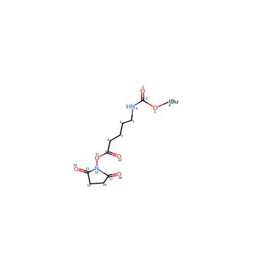 CC(C)(C)OC(=O)NCCCCC(=O)ON1C(=O)CCC1=O